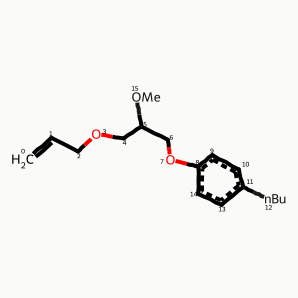 C=CCOCC(COc1ccc(CCCC)cc1)OC